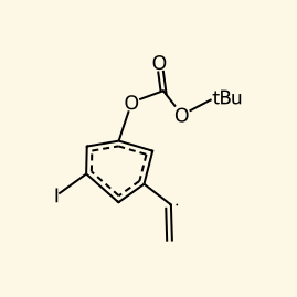 C=[C]c1cc(I)cc(OC(=O)OC(C)(C)C)c1